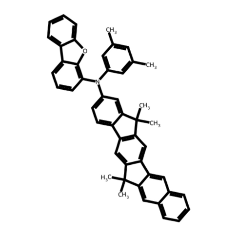 Cc1cc(C)cc(N(c2ccc3c(c2)C(C)(C)c2cc4c(cc2-3)C(C)(C)c2cc3ccccc3cc2-4)c2cccc3c2oc2ccccc23)c1